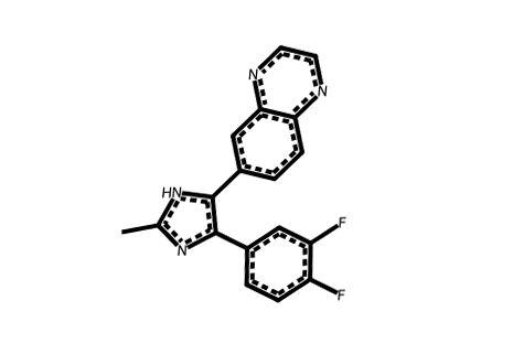 Cc1nc(-c2ccc(F)c(F)c2)c(-c2ccc3nccnc3c2)[nH]1